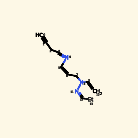 C#CC/C=N\C=C/CN(C=C)/N=C\CC